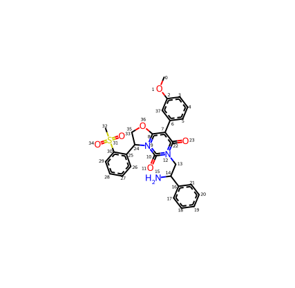 COc1cccc(-c2c3n(c(=O)n(CC(N)c4ccccc4)c2=O)C(c2ccccc2S(C)(=O)=O)CO3)c1